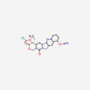 CC[C@@]1(OC(=O)Cl)C(=O)OCc2c1cc1n(c2=O)Cc2cc3c(OC#N)cccc3nc2-1